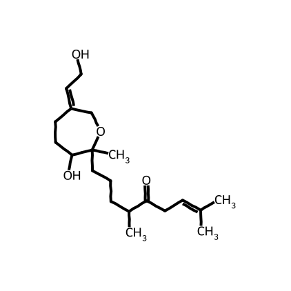 CC(C)=CCC(=O)C(C)CCCC1(C)OCC(=CCO)CCC1O